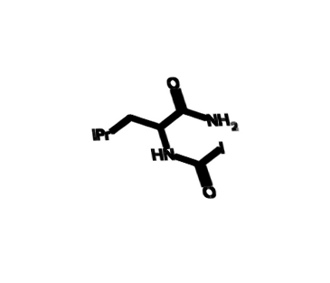 CC(C)CC(NC(=O)I)C(N)=O